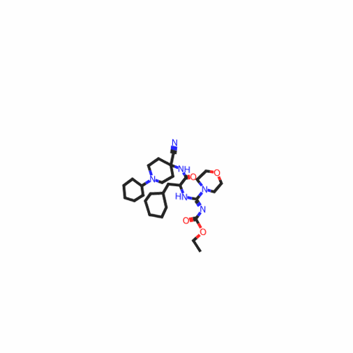 CCOC(=O)/N=C(\NC(CC1CCCCC1)C(=O)NC1(C#N)CCN(C2CCCCC2)CC1)N1CCOCC1